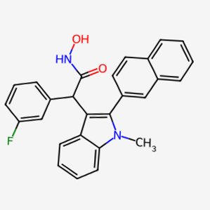 Cn1c(-c2ccc3ccccc3c2)c(C(C(=O)NO)c2cccc(F)c2)c2ccccc21